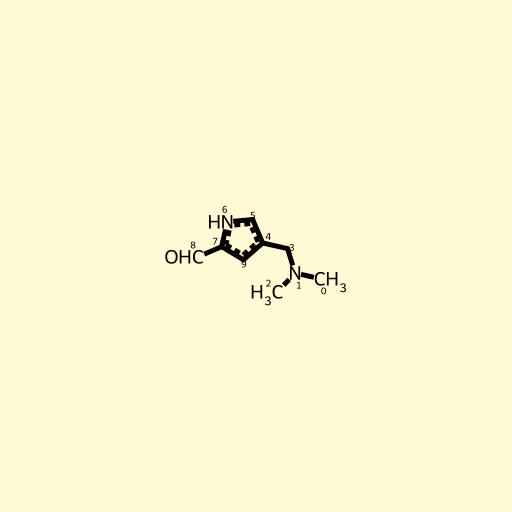 CN(C)Cc1c[nH]c(C=O)c1